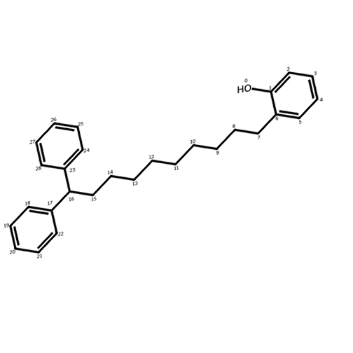 Oc1ccccc1CCCCCCCCCC(c1ccccc1)c1ccccc1